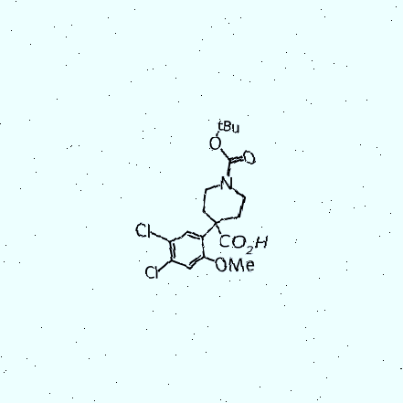 COc1cc(Cl)c(Cl)cc1C1(C(=O)O)CCN(C(=O)OC(C)(C)C)CC1